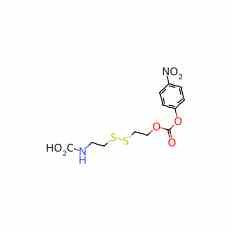 O=C(O)NCCSSCCOC(=O)Oc1ccc([N+](=O)[O-])cc1